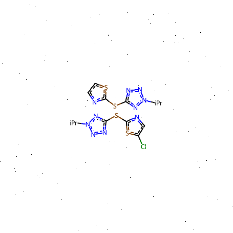 CC(C)n1nnc(Sc2ncc(Cl)s2)n1.CC(C)n1nnc(Sc2nccs2)n1